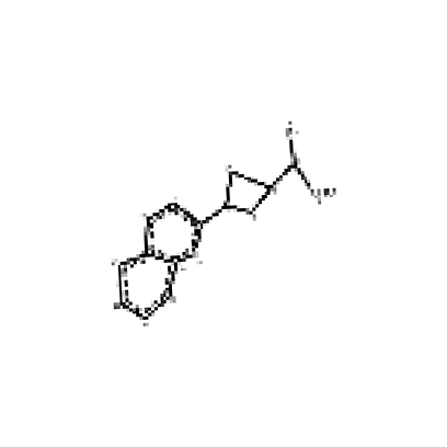 O=CC(Br)C1CC(c2ccc3ccccc3n2)C1